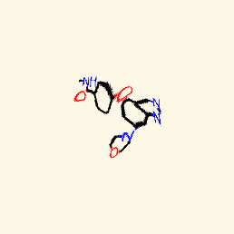 CNC(=O)C1CCC(Oc2cc(N3CCOCC3)cc3ncncc23)CC1